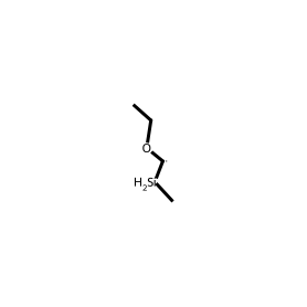 CCO[CH][SiH2]C